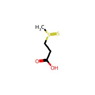 CS(=S)CCC(=O)O